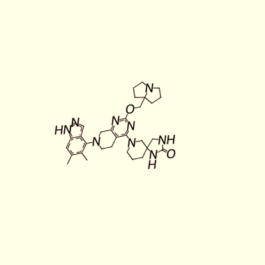 Cc1cc2[nH]ncc2c(N2CCc3c(nc(OCC45CCCN4CCC5)nc3N3CCCC4(CNC(=O)N4)C3)C2)c1C